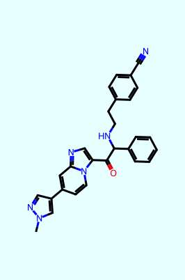 Cn1cc(-c2ccn3c(C(=O)C(NCCc4ccc(C#N)cc4)c4ccccc4)cnc3c2)cn1